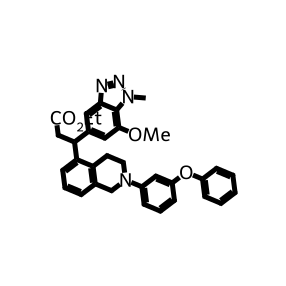 CCOC(=O)CC(c1cc(OC)c2c(c1)nnn2C)c1cccc2c1CCN(c1cccc(Oc3ccccc3)c1)C2